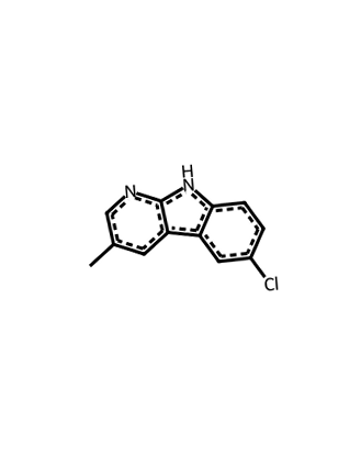 Cc1cnc2[nH]c3ccc(Cl)cc3c2c1